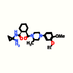 CCOc1cc(N2CCN(C(=O)[C@@H]3CCCC[C@H]3C(=O)NC3(N)CC3)C(C)C2)ccc1OC